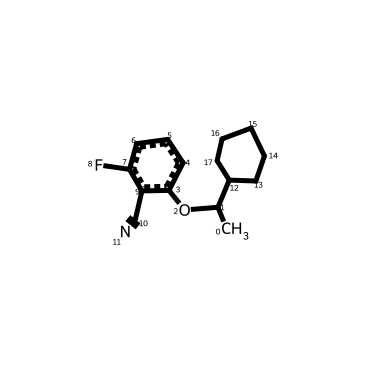 CC(Oc1cccc(F)c1C#N)C1CCCCC1